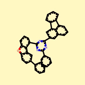 c1ccc(-c2ccc3oc4cccc(-c5nc(-c6ccccc6)nc(-c6cc7c8c(cccc8c6)-c6ccccc6-7)n5)c4c3c2)cc1